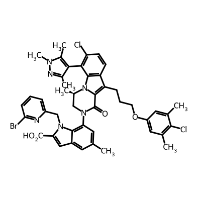 Cc1cc(N2C[C@@H](C)n3c(c(CCCOc4cc(C)c(Cl)c(C)c4)c4ccc(Cl)c(-c5c(C)nn(C)c5C)c43)C2=O)c2c(c1)cc(C(=O)O)n2Cc1cccc(Br)n1